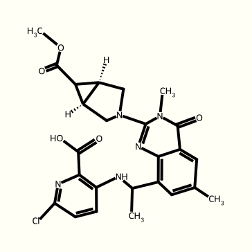 COC(=O)C1[C@H]2CN(c3nc4c(C(C)Nc5ccc(Cl)nc5C(=O)O)cc(C)cc4c(=O)n3C)C[C@@H]12